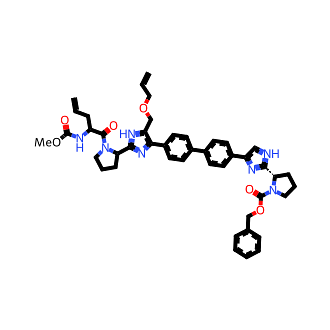 C=CCOCc1[nH]c(C2CCCN2C(=O)C(CC=C)NC(=O)OC)nc1-c1ccc(-c2ccc(-c3c[nH]c([C@@H]4CCCN4C(=O)OCc4ccccc4)n3)cc2)cc1